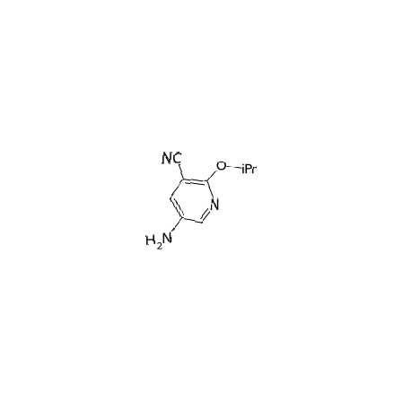 CC(C)Oc1ncc(N)cc1C#N